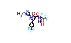 Cn1cc(-n2nc(-c3ccc(C(F)(F)F)cc3)cc(C(=O)NC(F)[C@H](O)C(F)F)c2=O)cn1